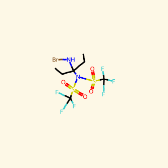 CCC(CC)(NBr)N(S(=O)(=O)C(F)(F)F)S(=O)(=O)C(F)(F)F